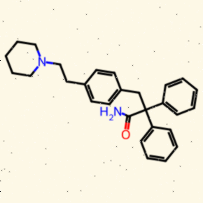 NC(=O)C(Cc1ccc(CCN2CCCCC2)cc1)(c1ccccc1)c1ccccc1